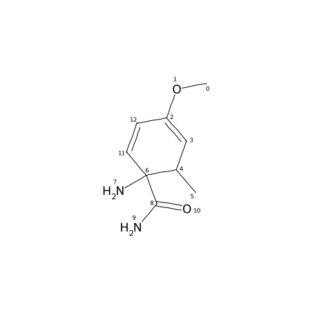 COC1=CC(C)C(N)(C(N)=O)C=C1